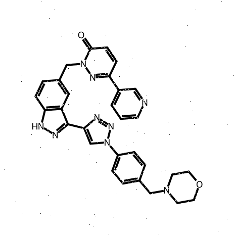 O=c1ccc(-c2cccnc2)nn1Cc1ccc2[nH]nc(-c3cn(-c4ccc(CN5CCOCC5)cc4)nn3)c2c1